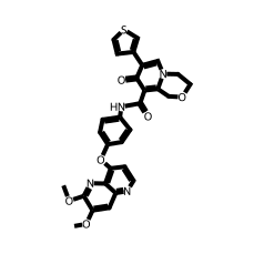 COc1cc2nccc(Oc3ccc(NC(=O)c4c5n(cc(-c6ccsc6)c4=O)CCOC5)cc3)c2nc1OC